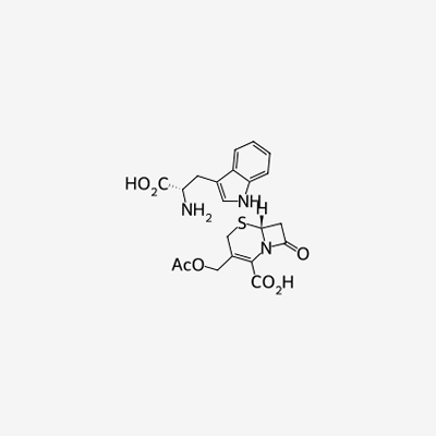 CC(=O)OCC1=C(C(=O)O)N2C(=O)C[C@H]2SC1.N[C@@H](Cc1c[nH]c2ccccc12)C(=O)O